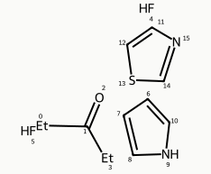 CCC(=O)CC.F.F.c1cc[nH]c1.c1cscn1